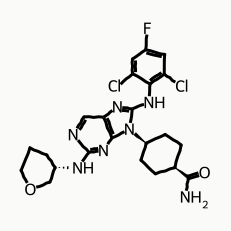 NC(=O)[C@H]1CC[C@@H](n2c(Nc3c(Cl)cc(F)cc3Cl)nc3cnc(N[C@H]4CCCOC4)nc32)CC1